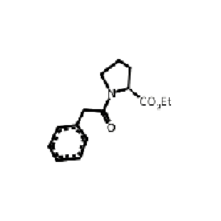 CCOC(=O)[C@@H]1CCCN1C(=O)Cc1ccccc1